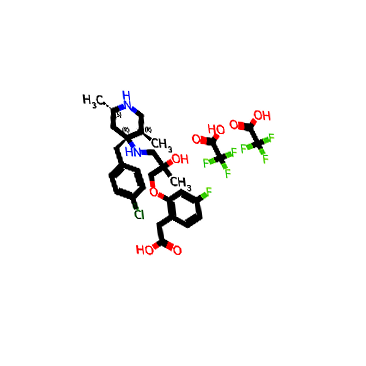 C[C@@H]1CN[C@@H](C)C[C@@]1(Cc1ccc(Cl)cc1)NCC(C)(O)COc1cc(F)ccc1CC(=O)O.O=C(O)C(F)(F)F.O=C(O)C(F)(F)F